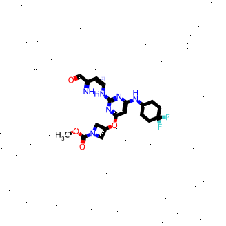 COC(=O)N1CC(Oc2cc(NC3CCC(F)(F)CC3)nc(N/C=C\C(=N)C=O)n2)C1